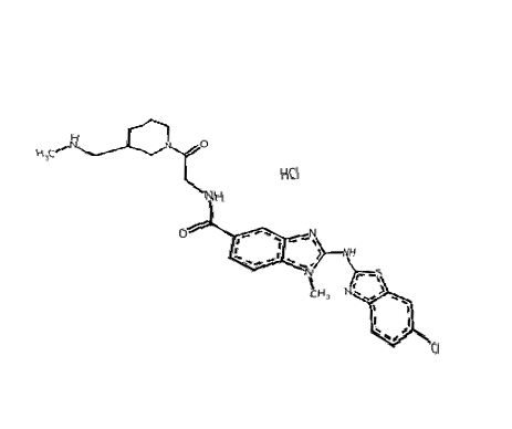 CNCC1CCCN(C(=O)CNC(=O)c2ccc3c(c2)nc(Nc2nc4ccc(Cl)cc4s2)n3C)C1.Cl